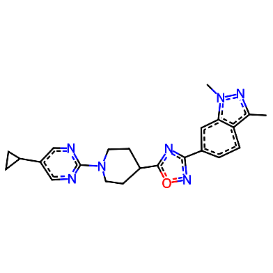 Cc1nn(C)c2cc(-c3noc(C4CCN(c5ncc(C6CC6)cn5)CC4)n3)ccc12